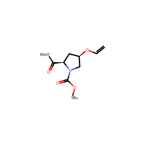 C=CO[C@@H]1C[C@H](C(=O)OC)N(C(=O)OC(C)(C)C)C1